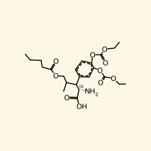 CCCCC(=O)OCC(C)C(c1ccc(OC(=O)OCC)c(OC(=O)OCC)c1)[C@H](N)C(=O)O